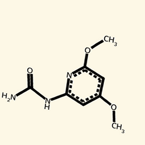 COc1cc(NC(N)=O)nc(OC)c1